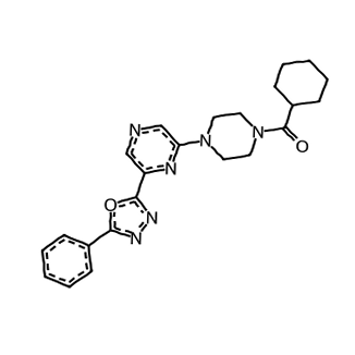 O=C(C1CCCCC1)N1CCN(c2cncc(-c3nnc(-c4ccccc4)o3)n2)CC1